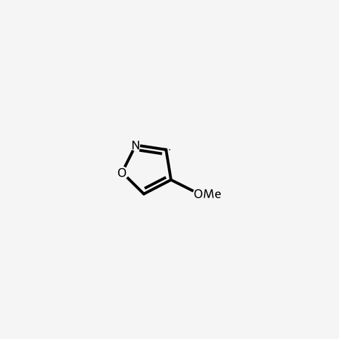 COc1[c]noc1